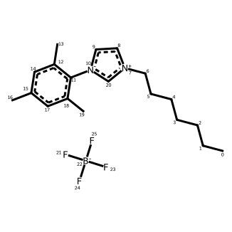 CCCCCCC[n+]1ccn(-c2c(C)cc(C)cc2C)c1.F[B-](F)(F)F